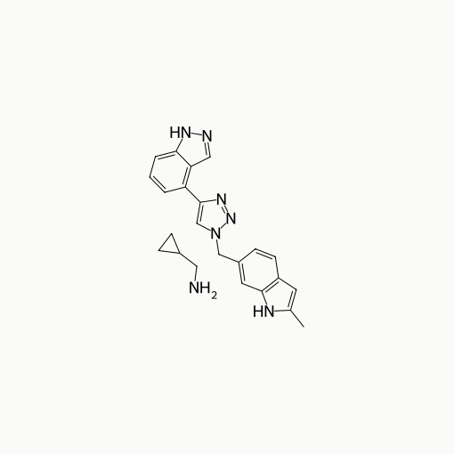 Cc1cc2ccc(Cn3cc(-c4cccc5[nH]ncc45)nn3)cc2[nH]1.NCC1CC1